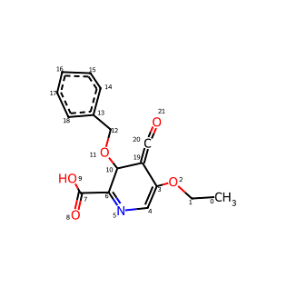 CCOC1=CN=C(C(=O)O)C(OCc2ccccc2)C1=C=O